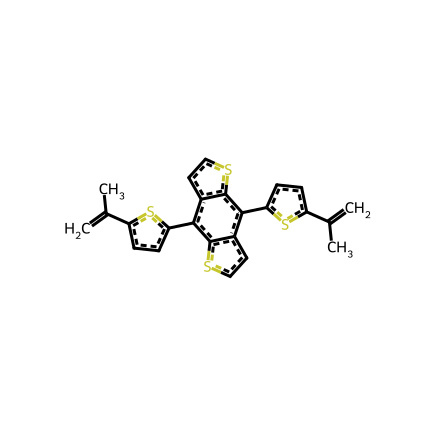 C=C(C)c1ccc(-c2c3ccsc3c(-c3ccc(C(=C)C)s3)c3ccsc23)s1